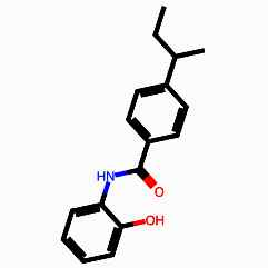 CCC(C)c1ccc(C(=O)Nc2ccccc2O)cc1